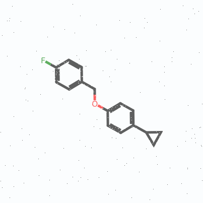 Fc1ccc(COc2ccc(C3CC3)cc2)cc1